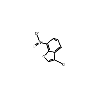 O=[N+]([O-])c1cccc2c(Cl)coc12